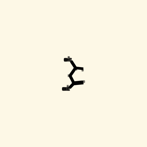 C=C(C=O)CC(C)C=O